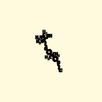 C/C(N)=C(\CO)N(N)CCCOc1ccc(C(C)(C)c2ccc(OCCCCl)cc2)cc1